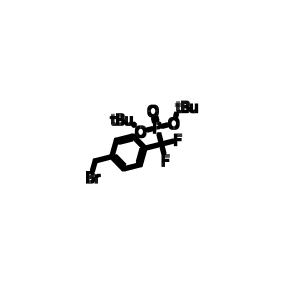 CC(C)(C)OP(=O)(OC(C)(C)C)C(F)(F)c1ccc(CBr)cc1